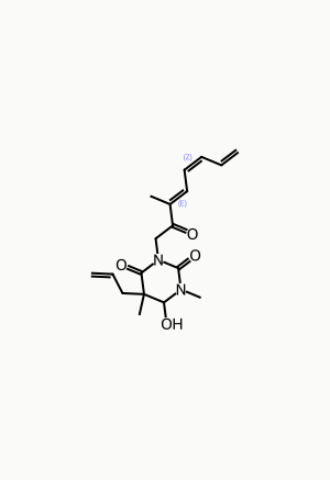 C=C/C=C\C=C(/C)C(=O)CN1C(=O)N(C)C(O)C(C)(CC=C)C1=O